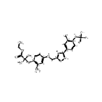 CCOC(=O)C(C)(C)Oc1ccc(OCc2nc(-c3ccc(OC(F)(F)F)c(Cl)c3)ns2)cc1C